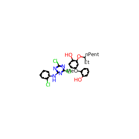 CCCCCC(CC)Oc1ccccc1O.COc1ccccc1O.Clc1nc(Cl)nc(Nc2ccccc2Cl)n1